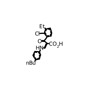 CCCCc1ccc(NC=C(C(=O)O)C(=O)c2cccc(CC)c2Cl)cc1